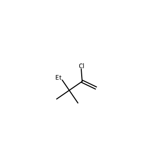 C=C(Cl)C(C)(C)CC